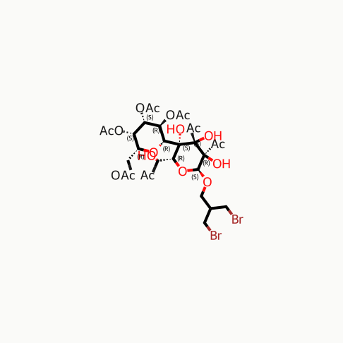 CC(=O)OC[C@H]1O[C@@H]([C@]2(O)[C@@H](C(O)C(C)=O)O[C@H](OCC(CBr)CBr)[C@@](O)(C(C)=O)[C@]2(O)C(C)=O)[C@H](OC(C)=O)[C@@H](OC(C)=O)[C@H]1OC(C)=O